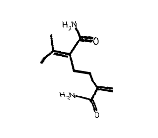 C=C(CCC(C(N)=O)=C(C)C)C(N)=O